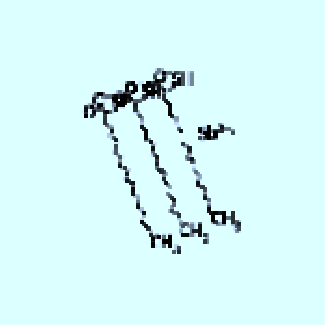 CCCCCCCCC=CCCCCCCCCC(CS)C(=O)[O-].CCCCCCCCC=CCCCCCCCCC(CS)C(=O)[O-].CCCCCCCCC=CCCCCCCCCC(CS)C(=O)[O-].[Sb+3]